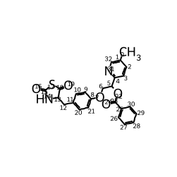 Cc1ccc(C(COc2ccc(CC3NC(=O)SC3=O)cc2)OC(=O)c2ccccc2)nc1